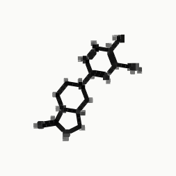 Nc1nc(N2CCN3C(=O)OCC3C2)nnc1Cl